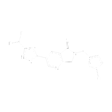 O=C1c2cc(-c3nnc(C(F)F)o3)cnc2CN1Cc1ccc(Cl)s1